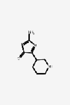 NC1=NC(=O)C(C2CCCNC2)=N1